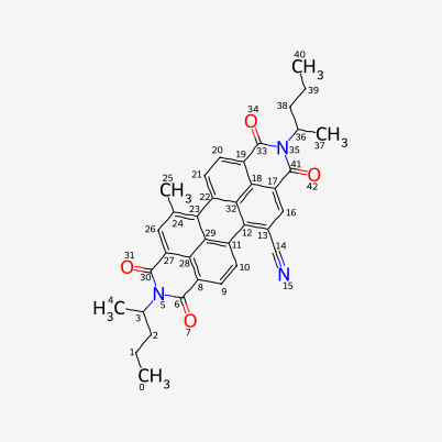 CCCC(C)N1C(=O)c2ccc3c4c(C#N)cc5c6c(ccc(c7c(C)cc(c2c37)C1=O)c64)C(=O)N(C(C)CCC)C5=O